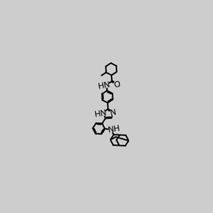 CC1CCCCC1C(=O)Nc1ccc(-c2ncc(-c3ccccc3NC3C4CC5CC(C4)CC3C5)[nH]2)cc1